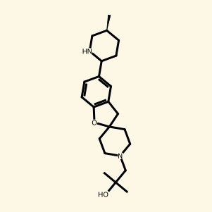 C[C@H]1CCC(c2ccc3c(c2)CC2(CCN(CC(C)(C)O)CC2)O3)NC1